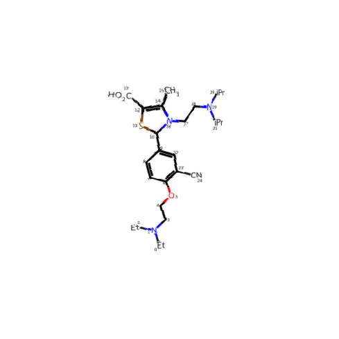 CCN(CC)CCOc1ccc(C2SC(C(=O)O)=C(C)N2CCN(C(C)C)C(C)C)cc1C#N